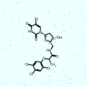 CCc1cn([C@H]2C[C@H](O)[C@@H](CNC(=O)C(C)Oc3cc(Cl)c(Cl)cc3Cl)O2)c(=O)[nH]c1=O